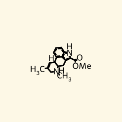 COC(=O)c1[nH]c2cccc3c2c1C[C@@H]1[C@@H]3C=C(C)CN1C